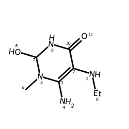 CCNC1=C(N)N(C)C(O)NC1=O